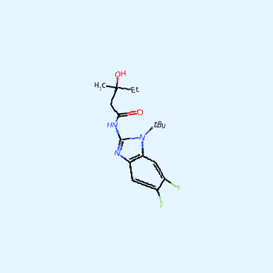 CCC(C)(O)CC(=O)Nc1nc2cc(F)c(F)cc2n1C(C)(C)C